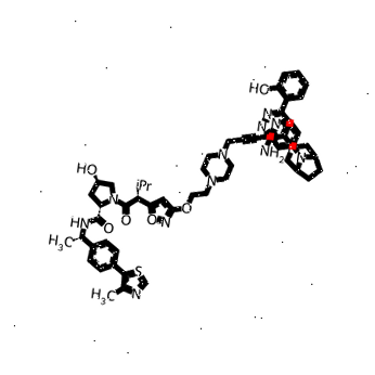 Cc1ncsc1-c1ccc([C@H](C)NC(=O)[C@@H]2C[C@@H](O)CN2C(=O)[C@@H](c2cc(OCCN3CCN(CC#Cc4cc(N5C6CCC5CN(c5cc(-c7ccccc7O)nnc5N)C6)ccn4)CC3)no2)C(C)C)cc1